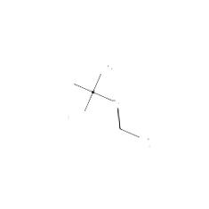 CC(C)(C#N)NCO